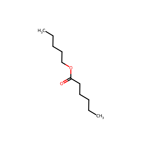 CCCCCOC(=O)CCCCC